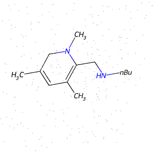 CCCCNCC1=C(C)C=C(C)CN1C